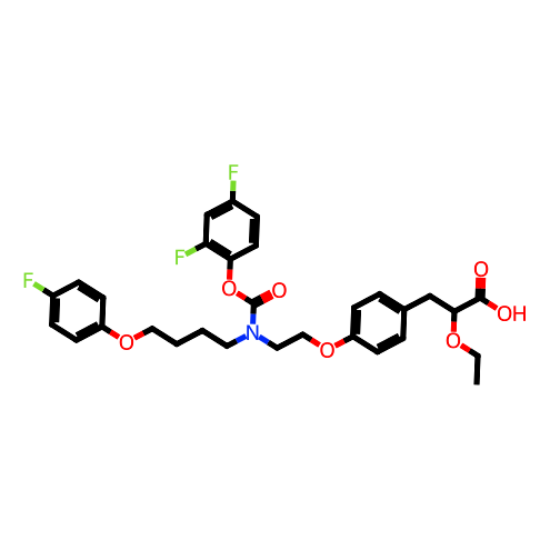 CCOC(Cc1ccc(OCCN(CCCCOc2ccc(F)cc2)C(=O)Oc2ccc(F)cc2F)cc1)C(=O)O